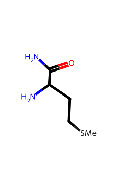 CSCCC(N)C(N)=O